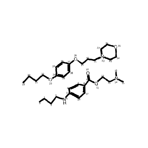 CCCCNc1ccc(C(=O)OCCN(C)C)cc1.CCCCOc1ccc(OCCCN2CCOCC2)cc1